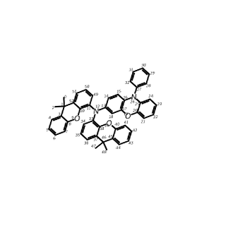 CC1(C)c2ccccc2Oc2c(N(c3ccc4c(c3)Oc3ccccc3N4c3ccccc3)c3cccc4c3Oc3ccccc3C4(C)C)cccc21